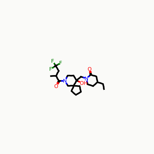 CCC1CCN(CC2(O)CCN(C(=O)C(C)CC(F)(F)F)CC23CCCC3)C(=O)C1